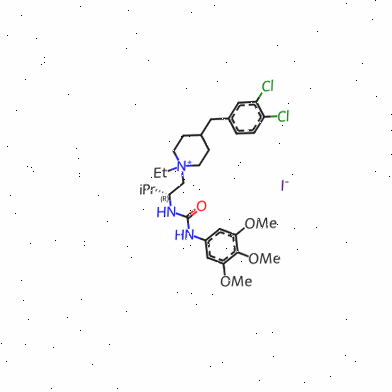 CC[N+]1(C[C@H](NC(=O)Nc2cc(OC)c(OC)c(OC)c2)C(C)C)CCC(Cc2ccc(Cl)c(Cl)c2)CC1.[I-]